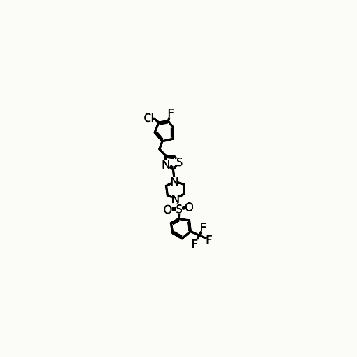 O=S(=O)(c1cccc(C(F)(F)F)c1)N1CCN(c2nc(Cc3ccc(F)c(Cl)c3)cs2)CC1